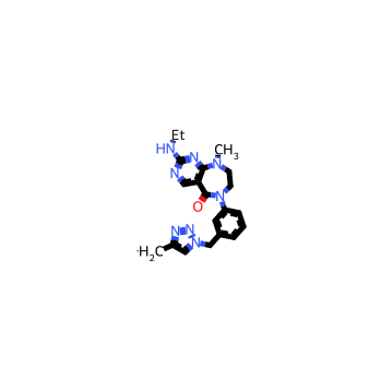 [CH2]c1cn(Cc2cccc(N3CCN(C)c4nc(NCC)ncc4C3=O)c2)nn1